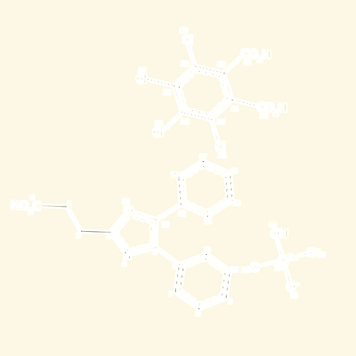 O=C(O)CCc1nc(-c2ccccc2)c(-c2ccccc2)o1.O=C(O)c1c(Cl)c(Cl)c(Cl)c(Cl)c1C(=O)O.[O-][Cl+3]([O-])([O-])O